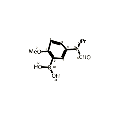 COc1ccc(N(C=O)C(C)C)cc1B(O)O